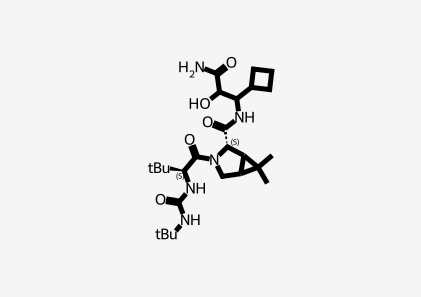 CC(C)(C)NC(=O)N[C@H](C(=O)N1CC2C([C@H]1C(=O)NC(C1CCC1)C(O)C(N)=O)C2(C)C)C(C)(C)C